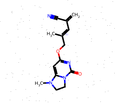 C=C(C#N)/C=C(\C)COc1cc2n(c(=O)n1)CCN2C